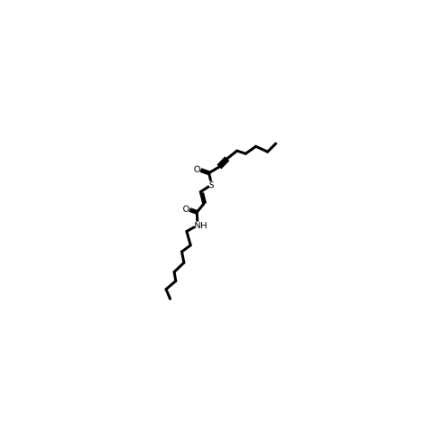 CCCCCC#CC(=O)SC=CC(=O)NCCCCCCCC